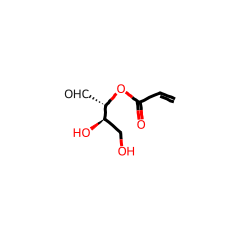 C=CC(=O)O[C@@H](C=O)[C@H](O)CO